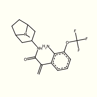 C=C(C(=O)NC1CC2CCC(C1)N2C)c1cccc(OC(F)(F)F)c1N